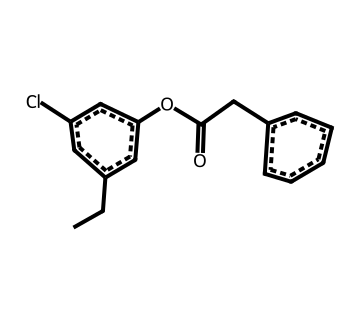 CCc1cc(Cl)cc(OC(=O)Cc2ccccc2)c1